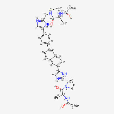 COC(=O)NC(C(=O)N1CCC[C@H]1c1ncc(-c2ccc3cc(-c4ccc(-c5cnc(CN(CC(C)C)C(=O)[C@@H](NC(=O)OC)C(C)C)[nH]5)cc4)ccc3c2)[nH]1)C(C)C